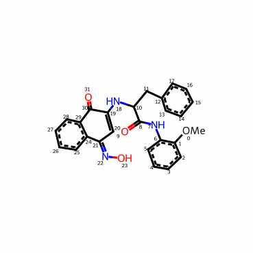 COc1ccccc1NC(=O)C(Cc1ccccc1)NC1=CC(=NO)c2ccccc2C1=O